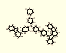 c1ccc(-c2ccc(N(c3ccc(-c4ccc(-n5c6ccccc6c6ccc7oc8ccccc8c7c65)cc4)cc3)c3ccc(-c4cccc5c4sc4ccccc45)cc3)cc2)cc1